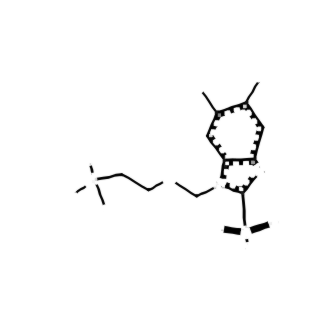 C[Si](C)(C)CCOCn1c(S(C)(=O)=O)nc2cc(I)c(F)cc21